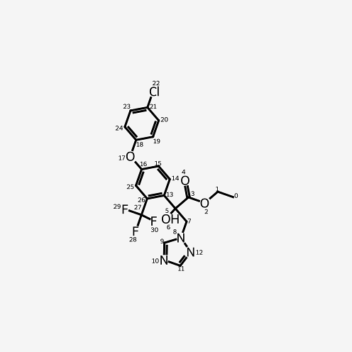 CCOC(=O)C(O)(Cn1cncn1)c1ccc(Oc2ccc(Cl)cc2)cc1C(F)(F)F